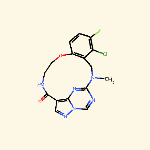 CN1Cc2c(ccc(F)c2Cl)OCCNC(=O)c2cnn3cnc1nc23